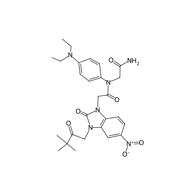 CCN(CC)c1ccc(N(CC(N)=O)C(=O)Cn2c(=O)n(CC(=O)C(C)(C)C)c3cc([N+](=O)[O-])ccc32)cc1